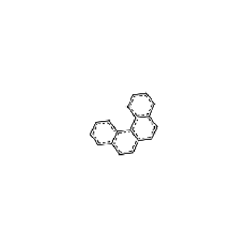 [c]1cccc2ccc3ccc4ccccc4c3c12